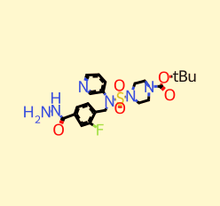 CC(C)(C)OC(=O)N1CCN(S(=O)(=O)N(Cc2ccc(C(=O)NN)cc2F)c2cccnc2)CC1